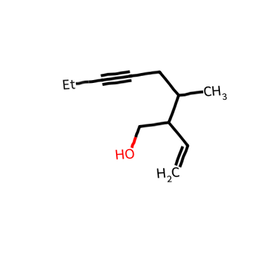 C=CC(CO)C(C)CC#CCC